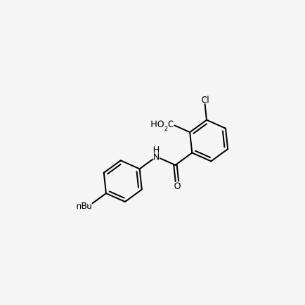 CCCCc1ccc(NC(=O)c2cccc(Cl)c2C(=O)O)cc1